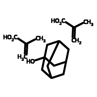 C=C(C)C(=O)O.C=C(C)C(=O)O.OC12CC3CC(CC(C3)C1)C2